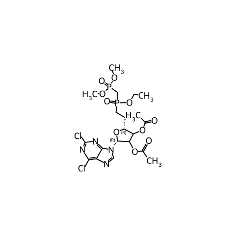 CCOP(=O)(CC[C@H]1O[C@@H](n2cnc3c(Cl)nc(Cl)nc32)C(OC(C)=O)C1OC(C)=O)CP(=O)(OC)OC